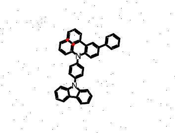 c1ccc(-c2ccc(N(c3ccccc3)c3ccc(-n4c5ccccc5c5ccccc54)cc3)c(-c3ccccc3)c2)cc1